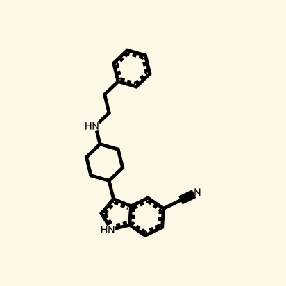 N#Cc1ccc2[nH]cc(C3CCC(NCCc4ccccc4)CC3)c2c1